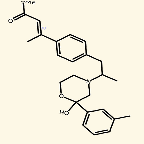 COC(=O)/C=C(\C)c1ccc(CC(C)N2CCOC(O)(c3cccc(C)c3)C2)cc1